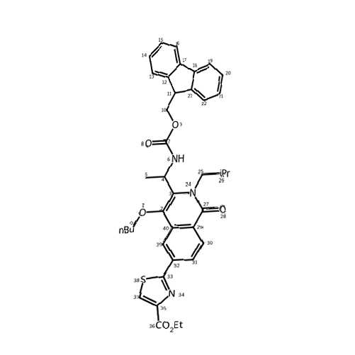 CCCCOc1c(C(C)NC(=O)OCC2c3ccccc3-c3ccccc32)n(CC(C)C)c(=O)c2ccc(-c3nc(C(=O)OCC)cs3)cc12